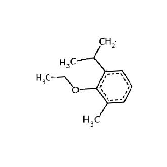 [CH2]C(C)c1cccc(C)c1OCC